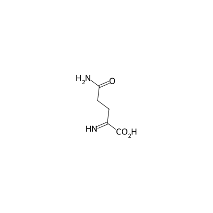 N=C(CCC(N)=O)C(=O)O